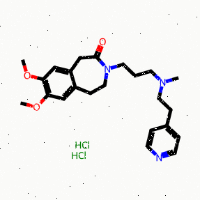 COc1cc2c(cc1OC)CC(=O)N(CCCN(C)CCc1ccncc1)CC2.Cl.Cl